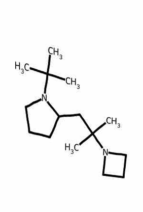 CC(C)(C)N1CCCC1CC(C)(C)N1CCC1